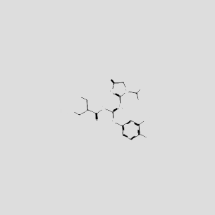 CCC(CC)C(=O)NC(=NC1=NC(=O)CN1C(C)C)Nc1ccc(Cl)c(Cl)c1